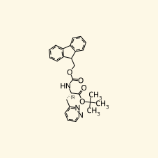 CC(C)(C)OC(=O)[C@H](Cc1cccnn1)NC(=O)OCC1c2ccccc2-c2ccccc21